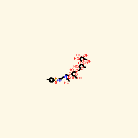 Cc1ccc(S(=O)(=O)NCCCN2CC(CO)OC(OC3C(O)C(CO)OC(OCC4OC(C)C(O)C(OC5OC(CO)C(O)C(O)C5O)C4O)C3O)C2)cc1